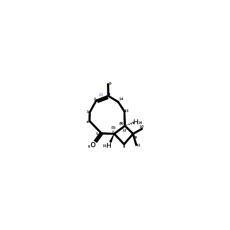 C/C1=C/CCC(=O)[C@H]2CC(C)(C)[C@@H]2CC1